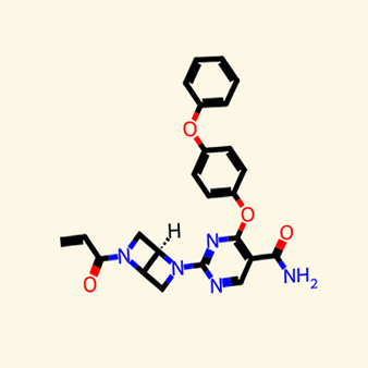 C=CC(=O)N1C[C@@H]2C1CN2c1ncc(C(N)=O)c(Oc2ccc(Oc3ccccc3)cc2)n1